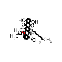 CCCCCCCCSc1c(Nc2c(OCC)cccc2OCC)c(NCCCC)c(F)c2c1C(=O)c1c(O)ccc(O)c1C2=O